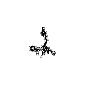 COCCc1nc(N)c2c(n1)c(C#CCCCN1CC[C@@H](F)C1)cn2COCc1ccccc1